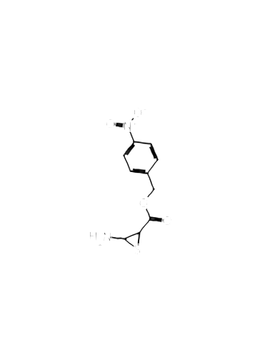 NC1SC1C(=O)OCc1ccc([N+](=O)[O-])cc1